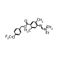 CCN(C)C=Nc1cc(C)c(C(=O)OCc2ccc(OC(F)(F)F)cc2)cc1C